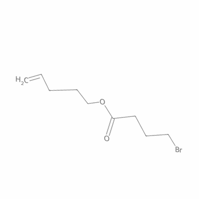 C=CCCCOC(=O)CCCBr